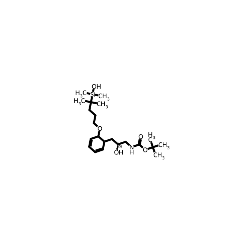 CC(C)(C)OC(=O)NC[C@@H](O)CC1C=CC=CC1OCCCC(C)(C)[Si](C)(C)O